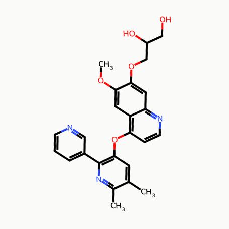 COc1cc2c(Oc3cc(C)c(C)nc3-c3cccnc3)ccnc2cc1OCC(O)CO